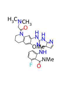 CNC(=O)c1c(F)cccc1Nc1nc(Nc2cc3c(cc2OC)CCCN3C(=O)CN(C)C)[nH]c2nccc1-2